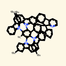 CC(C)(C)c1ccc2c(c1)c1ccccc1n2-c1c(C#N)c(-n2c3ccccc3c3cc(C(C)(C)C)ccc32)c(-n2c3ccccc3c3cc(C(C)(C)C)ccc32)c(-c2ccc3c(c2)-c2ccccc2C32c3ccccc3-c3cccnc32)c1-n1c2ccccc2c2cc(C(C)(C)C)ccc21